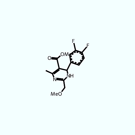 COCC1=NC(C)=C(C(=O)OC)C(c2ccc(F)c(F)c2)N1